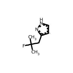 CC(C)(F)Cc1[c]c[nH]n1